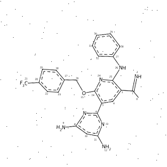 CC(=N)c1cc(-c2nc(N)cc(N)n2)c(OCc2ccc(C(F)(F)F)cc2)nc1Nc1ccccc1